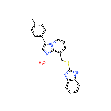 Cc1ccc(-c2cnc3c(CSc4nc5ccccc5[nH]4)cccn23)cc1.O